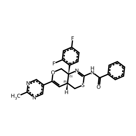 Cc1ncc(C2=C[C@H]3CSC(NC(=O)c4ccccc4)=N[C@@]3(c3ccc(F)cc3F)CO2)cn1